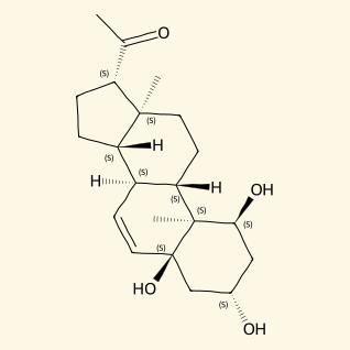 CC(=O)[C@H]1CC[C@H]2[C@@H]3C=C[C@@]4(O)C[C@@H](O)C[C@H](O)[C@]4(C)[C@H]3CC[C@]12C